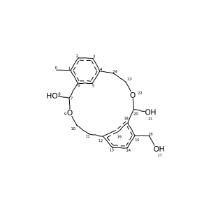 Cc1ccc2cc1C(O)OCCc1ccc(CO)c(c1)C(O)OCC2